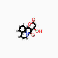 O=C1CC(O)c2c(c3cccc4c3n(c2=O)CCC4)O1